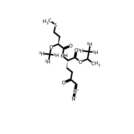 [2H]C([2H])([2H])O[C@@H](CCSC)C(=O)N[C@@H](CCC(=O)C=[N+]=[N-])C(=O)OC(C)C([2H])([2H])[2H]